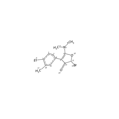 CCc1ccc(C2=C(N(C)C)OC(Br)C2=O)cc1C